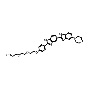 OCCOCCOCCOc1ccc(-c2nc3cc(-c4nc5cc(N6CCOCC6)ccc5[nH]4)ccc3[nH]2)cc1